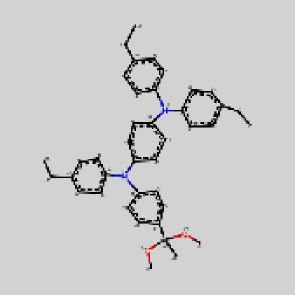 CCc1ccc(N(c2ccc(CC)cc2)c2ccc(N(c3ccc(CC)cc3)c3ccc([Si](C)(OC)OC)cc3)cc2)cc1